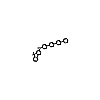 CC1(C)c2ccccc2-c2ccc(Nc3ccc(-c4ccc(-c5ccc(-c6ccccc6)cc5)cc4)cc3)cc21